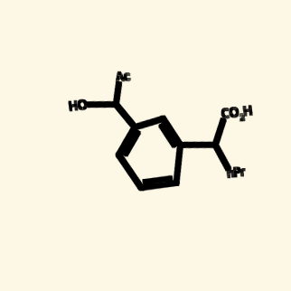 CCCC(C(=O)O)c1cccc(C(O)C(C)=O)c1